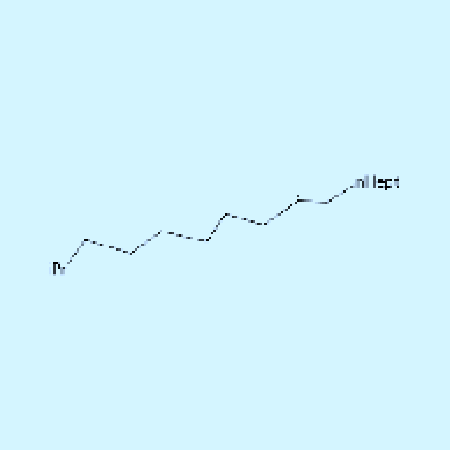 CCCCCCCC[CH]CCCCCCC(C)C